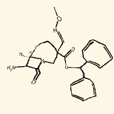 CON=CC1(C(=O)OC(c2ccccc2)c2ccccc2)CS[C@@H]2C(N)C(=O)N2C1